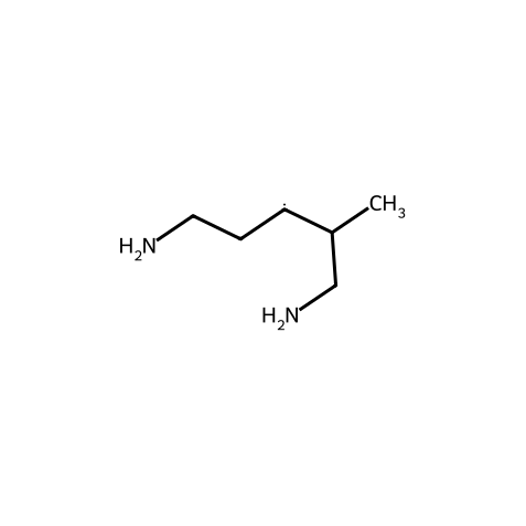 CC([CH]CCN)CN